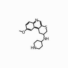 COc1ccc2ncc3c(c2c1)CC(NC1CCNCC1)CS3